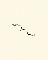 CCCCO[SiH2]O[SiH3]